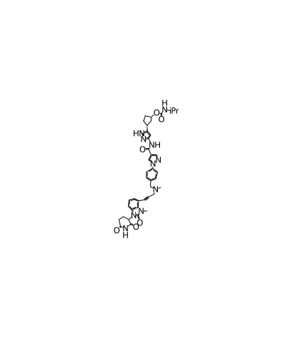 CC(C)NC(=O)O[C@@H]1CC[C@H](c2cc(NC(=O)c3cnn(-c4ccc(CN(C)CC#Cc5cccc6c5n(C)c(=O)n6C5CCC(=O)NC5=O)cc4)c3)n[nH]2)C1